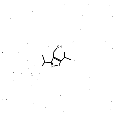 CC(C)c1noc(C(C)C)c1CO